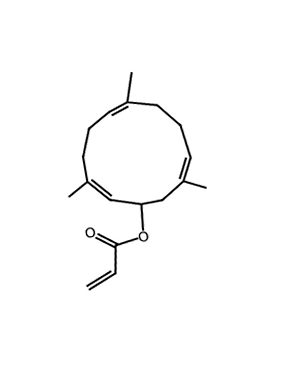 C=CC(=O)OC1C=C(C)CCC=C(C)CCC=C(C)C1